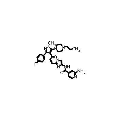 CCCN1CCN(c2c(-c3ccc4nc(NC(=O)c5ccnc(N)c5)cn4n3)c(-c3ccc(F)cc3)nn2C)CC1